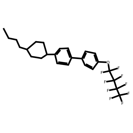 CCCCC1CCC(c2ccc(-c3ccc(OC(F)(F)C(F)(F)C(F)(F)C(F)(F)F)cc3)cc2)CC1